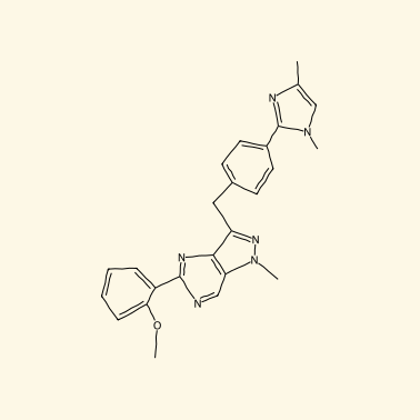 COc1ccccc1-c1ncc2c(n1)c(Cc1ccc(-c3nc(C)cn3C)cc1)nn2C